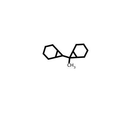 CC1(C2C3CCCCC32)C2CCCCC21